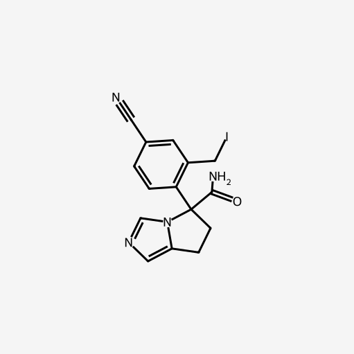 N#Cc1ccc(C2(C(N)=O)CCc3cncn32)c(CI)c1